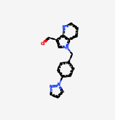 O=Cc1cn(Cc2ccc(-n3cccn3)cc2)c2cccnc12